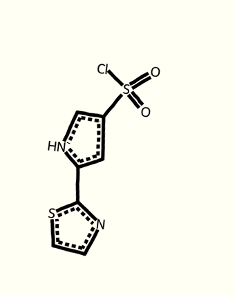 O=S(=O)(Cl)c1c[nH]c(-c2nccs2)c1